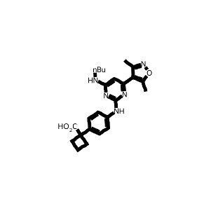 CCCCNc1cc(-c2c(C)noc2C)nc(Nc2ccc(C3(C(=O)O)CCC3)cc2)n1